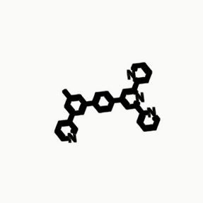 Cc1cc(-c2ccc(-c3cc(-c4ccccn4)nc(-c4ccccn4)c3)cc2)cc(-c2cccnc2)c1